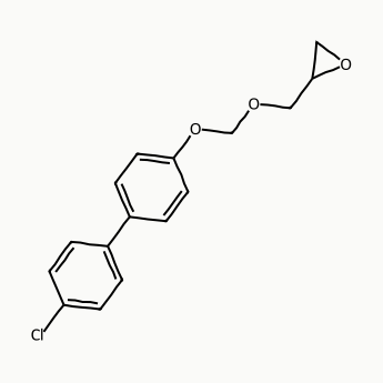 Clc1ccc(-c2ccc(OCOCC3CO3)cc2)cc1